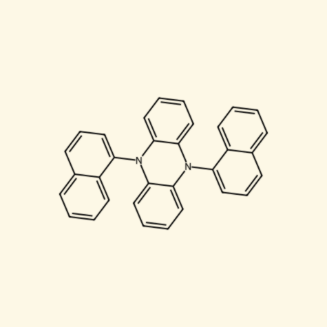 c1ccc2c(c1)N(c1cccc3ccccc13)c1ccccc1N2c1cccc2ccccc12